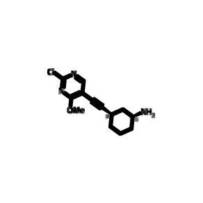 COc1nc(Cl)ncc1C#C[C@@H]1CCC[C@H](N)C1